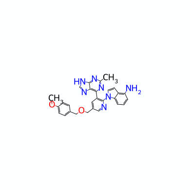 COc1ccc(COCc2cnc(-n3ccc4c(N)cccc43)c(-c3nc(C)nc4[nH]cnc34)c2)cc1